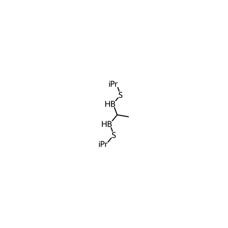 CC(BSC(C)C)BSC(C)C